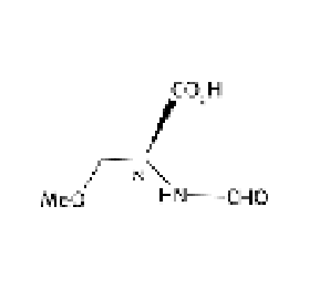 COC[C@H](NC=O)C(=O)O